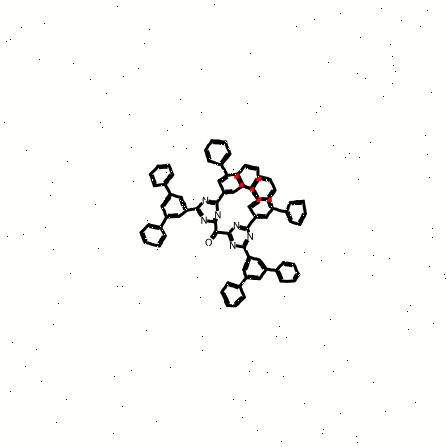 O=C(c1nc(-c2cc(-c3ccccc3)cc(-c3ccccc3)c2)nc(-c2cc(-c3ccccc3)cc(-c3ccccc3)c2)n1)c1nc(-c2cc(-c3ccccc3)cc(-c3ccccc3)c2)nc(-c2cc(-c3ccccc3)cc(-c3ccccc3)c2)n1